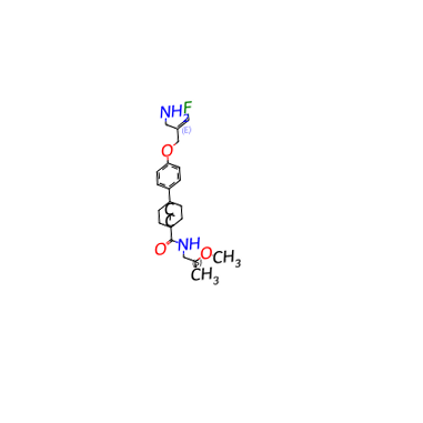 CO[C@@H](C)CNC(=O)C12CCC(c3ccc(OC/C(=C/F)CN)cc3)(CC1)CC2